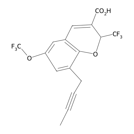 CC#CCc1cc(OC(F)(F)F)cc2c1OC(C(F)(F)F)C(C(=O)O)=C2